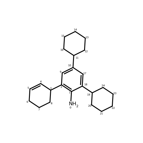 Nc1c(C2C=CCCC2)cc(C2CCCCC2)cc1C1CCCCC1